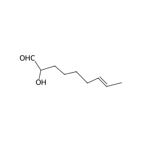 C/C=C/CCCCC(O)C=O